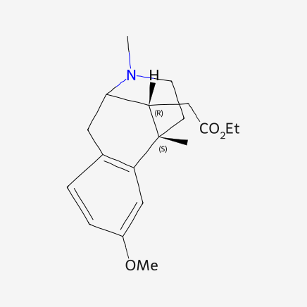 CCOC(=O)C[C@H]1C2Cc3ccc(OC)cc3[C@@]1(C)CCN2C